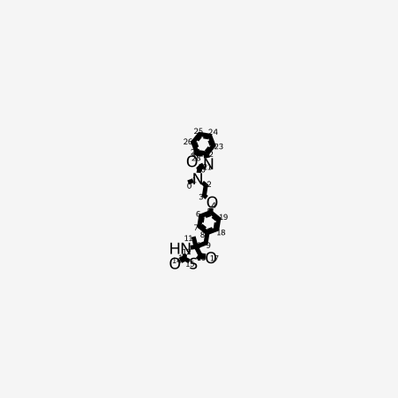 CN(CCOc1ccc(CC2(C)NC(=O)SC2=O)cc1)c1nc2ccccc2o1